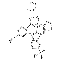 N#Cc1ccc(-c2nc(-c3ccccc3)nc(-c3ccccc3)n2)c(-n2c3ccccc3c3cc(C(F)(F)F)ccc32)c1